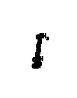 CC(=O)CCOCCOCCOCCOCCNC(=O)CCN1C(=O)C=CC1=O